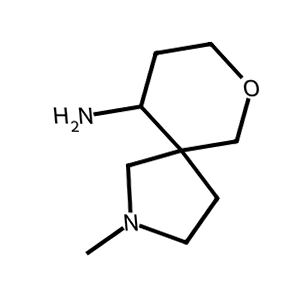 CN1CCC2(COCCC2N)C1